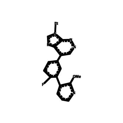 CCn1cnc2c(-c3ccc(F)c(-c4cccnc4OC)c3)cnnc21